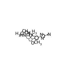 Cc1cc(-c2ncc(C#N)cn2)cc(C)c1C1C(=O)CC(CC(=O)NC(C)(C)C)C1=O